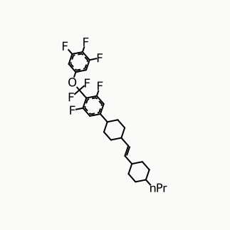 CCCC1CCC(/C=C/C2CCC(c3cc(F)c(C(F)(F)Oc4cc(F)c(F)c(F)c4)c(F)c3)CC2)CC1